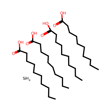 CCCCCCCCCC(=O)O.CCCCCCCCCC(=O)O.CCCCCCCCCC(=O)O.CCCCCCCCCC(=O)O.[SiH4]